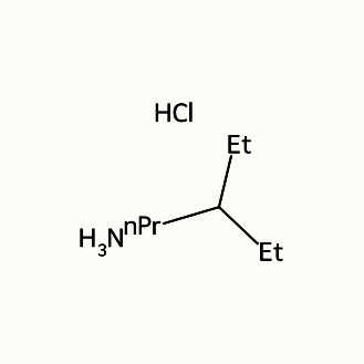 CCCC(CC)CC.Cl.N